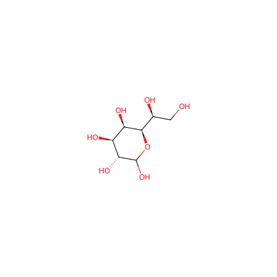 OC[C@H](O)[C@H]1OC(O)[C@H](O)[C@@H](O)[C@H]1O